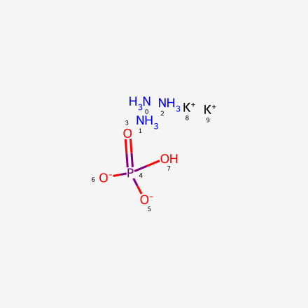 N.N.N.O=P([O-])([O-])O.[K+].[K+]